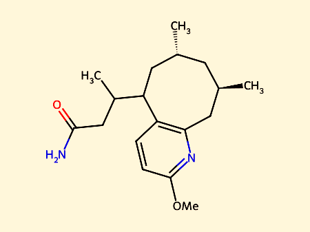 COc1ccc2c(n1)C[C@H](C)C[C@@H](C)CC2C(C)CC(N)=O